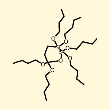 CCCCOC1(OCCCC)CC[Si](OCCCC)(OCCCC)[Si](OCCCC)(OCCCC)O1